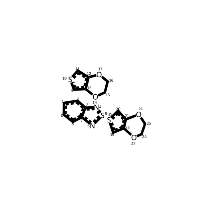 c1ccc2nsnc2c1.c1scc2c1OCCO2.c1scc2c1OCCO2